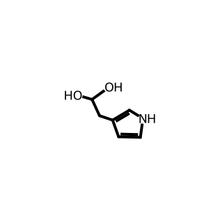 OC(O)Cc1cc[nH]c1